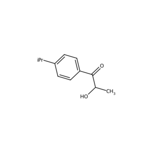 CC(O)C(=O)c1ccc(C(C)C)cc1